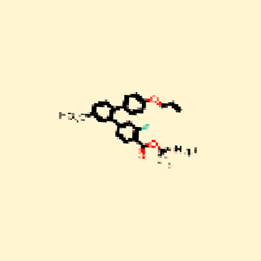 C=CCOc1ccc(-c2ccc(C(=O)O)cc2-c2ccc(C(=O)OC(CCCCCCC)C(F)(F)F)c(F)c2)cc1